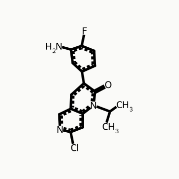 CC(C)n1c(=O)c(-c2ccc(F)c(N)c2)cc2cnc(Cl)cc21